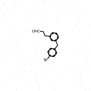 O=CCCc1cccc(Cc2ccc(Br)cc2)c1